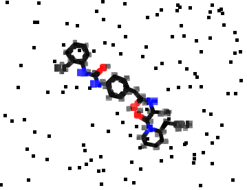 Cc1ccccc1NC(=O)Nc1ccc(CC(=O)NC(C(=O)N2CCCC[C@@H]2CC(=O)O)C(C)C)cc1